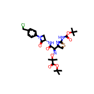 CC(C)(C)OC(=O)Nc1nc(/C(=N/OC(C)(C)C(=O)OC(C)(C)C)C(=O)N[C@H]2CN(c3ccc(CCl)cc3)C2=O)cs1